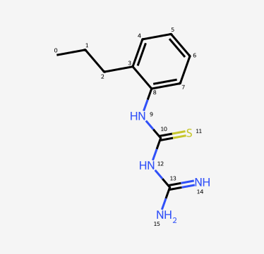 CCCc1ccccc1NC(=S)NC(=N)N